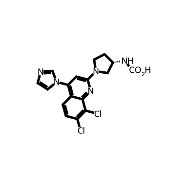 O=C(O)N[C@H]1CCN(c2cc(-n3ccnc3)c3ccc(Cl)c(Cl)c3n2)C1